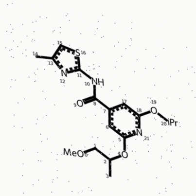 COCC(C)Oc1cc(C(=O)Nc2nc(C)cs2)cc(OC(C)C)n1